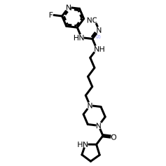 N#C/N=C(/NCCCCCN1CCN(C(=O)C2CCCN2)CC1)Nc1ccnc(F)c1